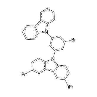 CC(C)c1ccc2c(c1)c1cc(C(C)C)ccc1n2-c1cc(Br)cc(-n2c3ccccc3c3ccccc32)c1